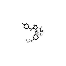 CCn1c(C(C)NS(=O)(=O)c2ccc(OC(F)(F)F)cc2)cnc1Oc1ccc(C)cc1